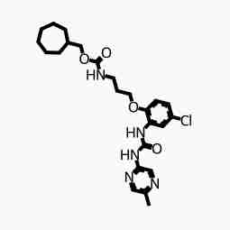 Cc1cnc(NC(=O)Nc2cc(Cl)ccc2OCCCNC(=O)OCC2CCCCCC2)cn1